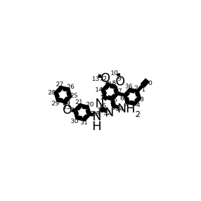 C#Cc1cccc(-c2c(OC)c(OC)cc3nc(Nc4ccc(Oc5ccccc5)cc4)nc(N)c23)c1